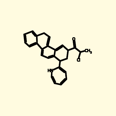 CC(Cl)C(=O)C1C=c2c(ccc3c2=CCc2ccccc2-3)C(C2=CC=CC=CN2)C1